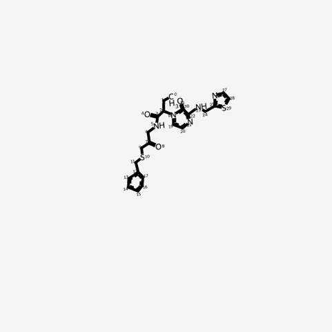 CCC(C(=O)NCC(=O)CSCc1ccccc1)n1ccnc(NCc2nccs2)c1=O